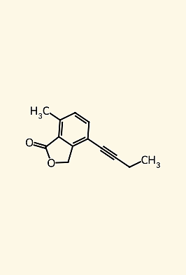 CCC#Cc1ccc(C)c2c1COC2=O